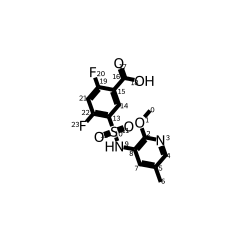 COc1ncc(C)cc1NS(=O)(=O)c1cc(C(=O)O)c(F)cc1F